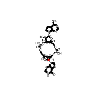 Nc1ncnc2c1ccn2[C@@H]1O[C@@H]2COP(=O)(O)O[C@@H]3[C@H](O)[C@@H](COP(=O)(O)O[C@H]2[C@H]1O)O[C@H]3n1cnc2c(=O)[nH]cnc21